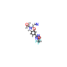 N#CCC(=O)N(Cc1ccc(-c2noc(C(F)(F)F)n2)cc1)C1COC1